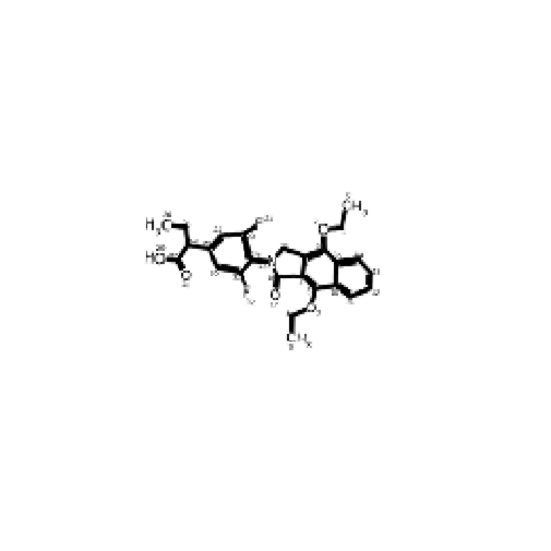 CCOc1c2c(c(OCC)c3ccccc13)C(=O)N(c1c(F)cc(C(CC)C(=O)O)cc1F)C2